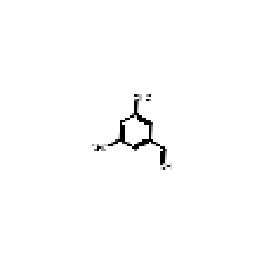 [CH]=Cc1cc(C=O)cc(C=O)c1